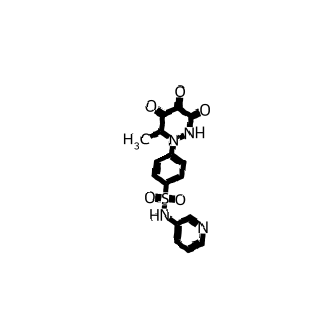 CC1C(=O)C(=O)C(=O)NN1c1ccc(S(=O)(=O)Nc2cccnc2)cc1